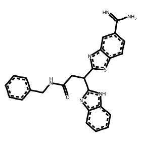 N=C(N)c1ccc2sc(C(CC(=O)NCc3ccccc3)c3nc4ccccc4[nH]3)nc2c1